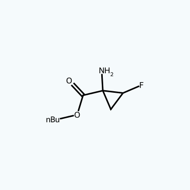 CCCCOC(=O)C1(N)CC1F